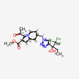 CCC(O)(c1cn(Cc2ccn3c(C(C)=O)c(C(=O)OC)cc3c2)nn1)C(F)(F)F